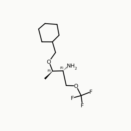 C[C@@H](OCC1CCCCC1)[C@H](N)COC(F)(F)F